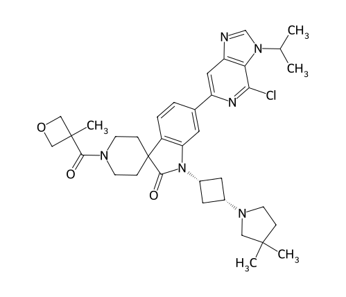 CC(C)n1cnc2cc(-c3ccc4c(c3)N([C@H]3C[C@@H](N5CCC(C)(C)C5)C3)C(=O)C43CCN(C(=O)C4(C)COC4)CC3)nc(Cl)c21